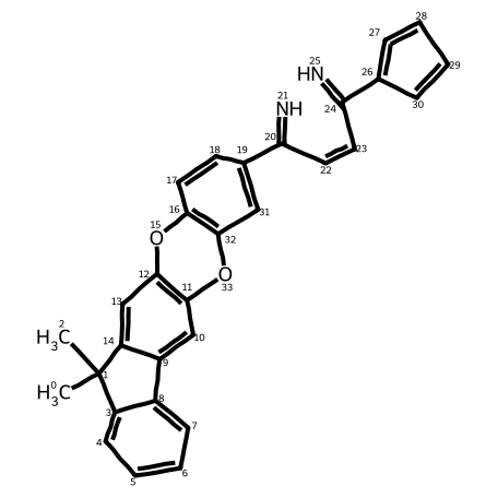 CC1(C)c2ccccc2-c2cc3c(cc21)Oc1ccc(C(=N)/C=C\C(=N)C2=C=CC=C2)cc1O3